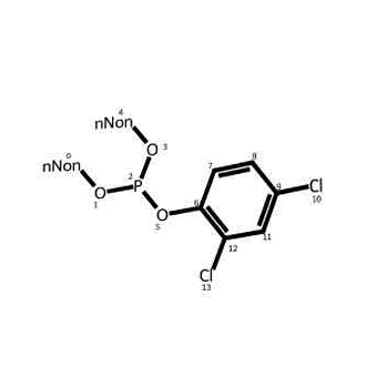 CCCCCCCCCOP(OCCCCCCCCC)Oc1ccc(Cl)cc1Cl